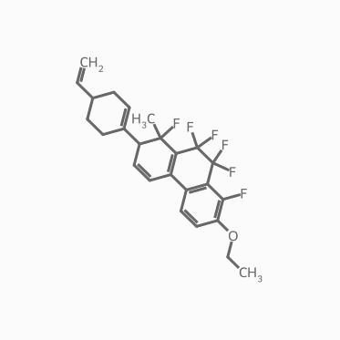 C=CC1CC=C(C2C=CC3=C(C2(C)F)C(F)(F)C(F)(F)c2c3ccc(OCC)c2F)CC1